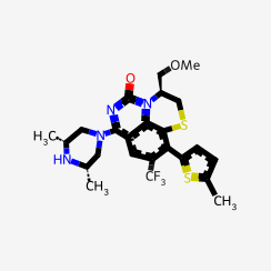 COC[C@H]1CSc2c(-c3ccc(C)s3)c(C(F)(F)F)cc3c(N4C[C@@H](C)N[C@@H](C)C4)nc(=O)n1c23